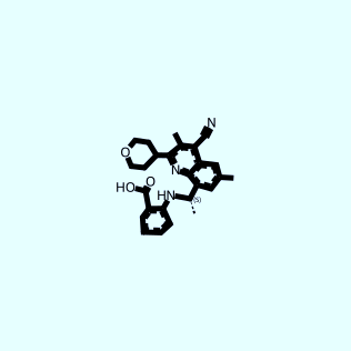 Cc1cc([C@H](C)Nc2ccccc2C(=O)O)c2nc(C3CCOCC3)c(C)c(C#N)c2c1